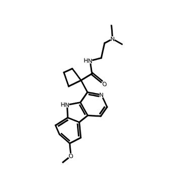 COc1ccc2[nH]c3c(C4(C(=O)NCCN(C)C)CCC4)nccc3c2c1